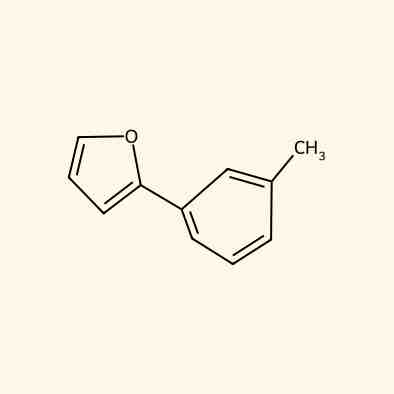 Cc1cccc(-c2ccco2)c1